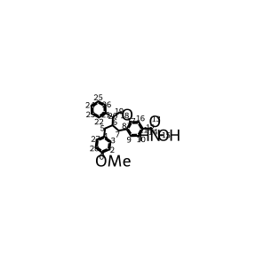 COc1ccc(CC2Cc3ccc(C(=O)NO)cc3OC[C@@H]2c2ccccc2)cc1